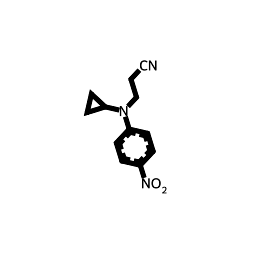 N#CCCN(c1ccc([N+](=O)[O-])cc1)C1CC1